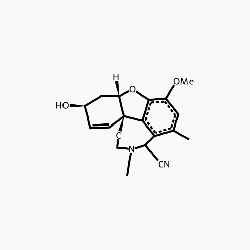 COc1cc(C)c2c3c1O[C@H]1C[C@H](O)C=C[C@@]31CCN(C)C2C#N